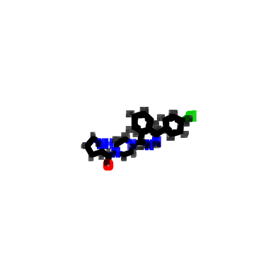 O=C(C1CCCN1)N1CCN(c2nnc(-c3ccc(Cl)cc3)c3ccccc23)CC1